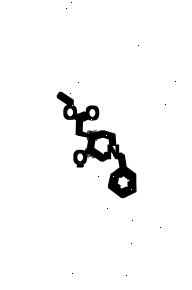 CCOC(=O)C[C@H]1CCN(Cc2ccccc2)C[C@H]1OC